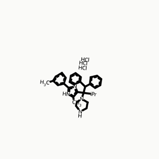 Cc1cccc(-c2nc(C(C(C)C)(C(c3ccccc3)c3ccccc3)N3CCNCC3)c(C)[nH]2)c1.Cl.Cl.Cl